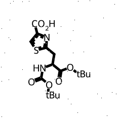 CC(C)(C)OC(=O)NC(Cc1nc(C(=O)O)cs1)C(=O)OC(C)(C)C